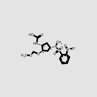 COCO[C@@H]1C[C@@H](N(C)S(=O)(=O)c2ccccc2[N+](=O)[O-])C[C@H]1NC(=O)O